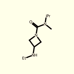 CCNC1CN(C(=O)N(C)C(C)C)C1